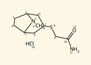 CN1C2CCC1CC(SCC(N)=O)C2.Cl